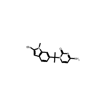 Cn1c(C(C)(C)C)cc2ccc(C(C)(C)n3ccc(N)nc3=O)cc21